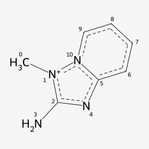 C[n+]1c(N)nc2ccccn21